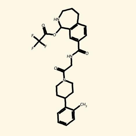 Cc1ccccc1C1CCN(C(=O)CNC(=O)c2ccc3c(c2)C(OC(=O)C(F)(F)F)NCCC3)CC1